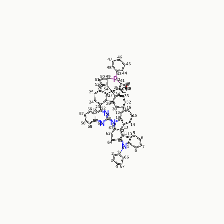 c1ccc(-n2c3ccccc3c3c4c5ccccc5n(-c5nc(-c6cccc7c6-c6ccccc6C76c7ccccc7P(c7ccccc7)c7ccccc76)c6ccccc6n5)c4ccc32)cc1